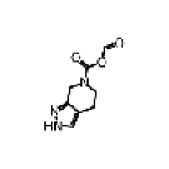 O=COC(=O)N1CCc2c[nH]nc2C1